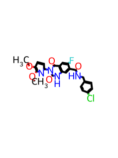 COc1ccc(-n2c(=O)[nH]c3cc(C(=O)NCc4ccc(Cl)cc4)c(F)cc3c2=O)nc1OC